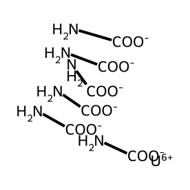 NC(=O)[O-].NC(=O)[O-].NC(=O)[O-].NC(=O)[O-].NC(=O)[O-].NC(=O)[O-].[U+6]